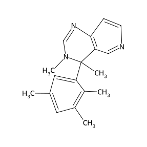 Cc1cc(C)c(C)c(C2(C)c3cnccc3N=CN2C)c1